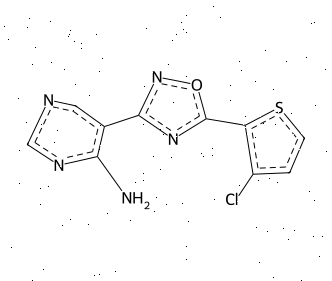 Nc1ncncc1-c1noc(-c2sccc2Cl)n1